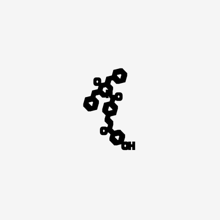 O=C1/C(=C/c2ccccc2)CN(C(=O)c2ccc(/C=C/C(=O)c3ccc(O)cc3)cc2)C/C1=C\c1ccccc1